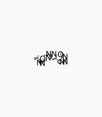 COc1ncnn2ccc(-c3cnc4nc(C)n(Cc5nnc(C6(C)CC6)o5)c4c3)c12